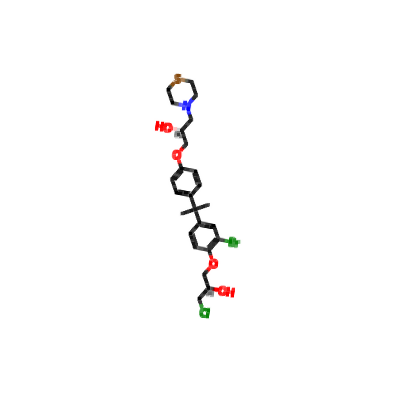 CC(C)(c1ccc(OC[C@H](O)CN2CCSCC2)cc1)c1ccc(OC[C@@H](O)CCl)c(Br)c1